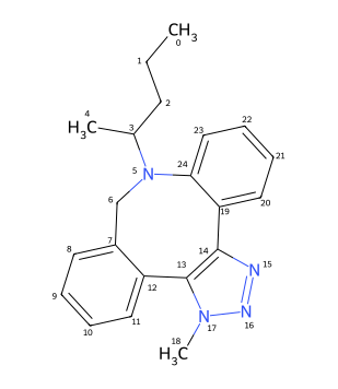 CCCC(C)N1Cc2ccccc2-c2c(nnn2C)-c2ccccc21